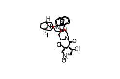 Cc1nc2ccccc2n1[C@H]1C[C@H]2CC[C@@H](C1)N2CCC1(c2ccccc2)CCN(C(=O)c2c(Cl)c[n+]([O-])cc2Cl)CC1